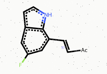 CC(=O)/C=C/c1cc(F)cc2cc[nH]c12